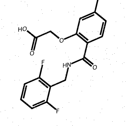 O=C(O)COc1cc(Cl)ccc1C(=O)NCc1c(F)cccc1F